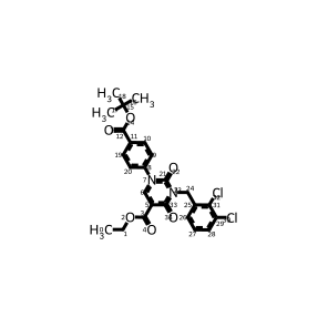 CCOC(=O)c1cn(-c2ccc(C(=O)OC(C)(C)C)cc2)c(=O)n(Cc2cccc(Cl)c2Cl)c1=O